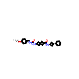 COc1ccc(CNC(=O)NC2CC3(C2)CC(C(=O)N[C@H]2C[C@H](c4ccccc4)C2)C3)cc1